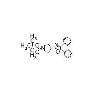 CC(C)(C)OC(=O)N1CCC(c2nc(C3=CCCC=C3)c(-c3ccccc3)o2)CC1